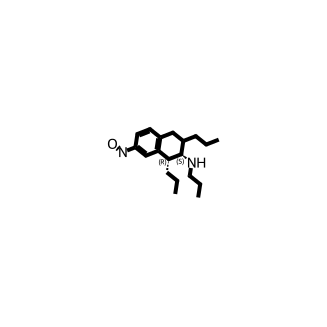 CCCN[C@H]1C(CCC)Cc2ccc(N=O)cc2[C@H]1CCC